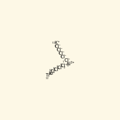 [Al+3].[Cl-].[Cl-].[Cl-].[Cl-].[Cl-].[Cl-].[Cl-].[Cl-].[Cl-].[K+].[K+].[Ti+4]